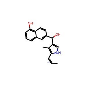 C/C=C\c1[nH]cc(C(O)c2ccc3c(O)cccc3c2)c1C